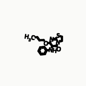 CCCCOC1N=C2SCCN2C(=O)C1Nc1ccccc1